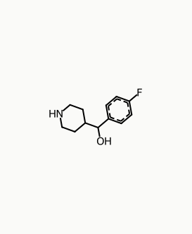 OC(c1ccc(F)cc1)C1CCNCC1